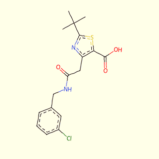 CC(C)(C)c1nc(CC(=O)NCc2cccc(Cl)c2)c(C(=O)O)s1